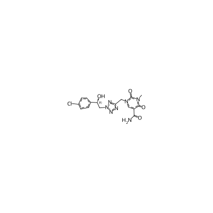 Cn1c(=O)c(C(N)=O)cn(Cc2nnn(C[C@H](O)c3ccc(Cl)cc3)n2)c1=O